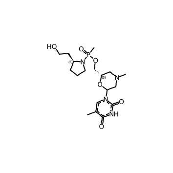 Cc1cn(C2CN(C)C[C@@H](COP(C)(=O)N3CCC[C@H]3CCO)O2)c(=O)[nH]c1=O